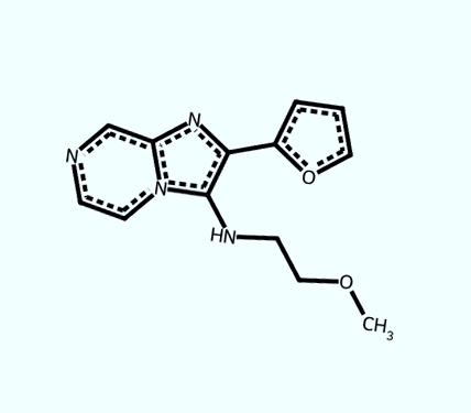 COCCNc1c(-c2ccco2)nc2cnccn12